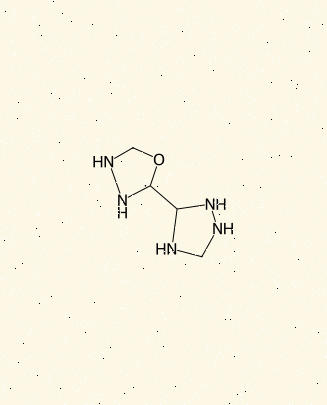 C1NNC([C]2NNCO2)N1